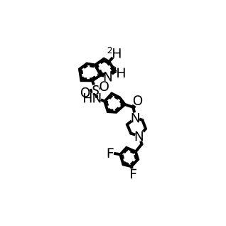 [2H]c1cc2cccc(S(=O)(=O)Nc3ccc(C(=O)N4CCN(Cc5cc(F)cc(F)c5)CC4)cc3)c2nc1[2H]